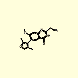 COc1cc2nc(CN)[nH]c(=O)c2cc1-c1c(C)noc1C